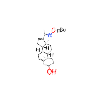 CCCCON=C(C)C1=CC[C@H]2[C@@H]3CC=C4CC(O)CC[C@]4(C)[C@H]3CC[C@]12C